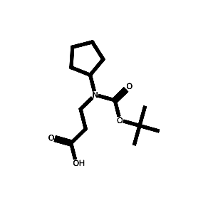 CC(C)(C)OC(=O)N(CCC(=O)O)C1CCCC1